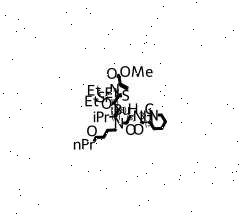 CCCC(=O)CCCN(C(=O)[C@@H](NC(=O)[C@@H]1CCCCN1C)[C@@H](C)CC)[C@H](C[C@@H](O[Si](CC)(CC)CC)c1nc(C(=O)OC)cs1)C(C)C